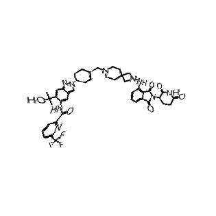 CC(C)(O)c1cc2nn([C@H]3CC[C@H](CN4CCC5(CC4)CN(Nc4cccc6c4C(=O)N(C4CCC(=O)NC4=O)C6=O)C5)CC3)cc2cc1NC(=O)c1cccc(C(F)(F)F)n1